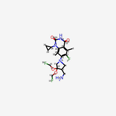 Cc1c(F)c(N2CC(CN)C(OCF)(OCF)C2)c(C)c2c1c(=O)[nH]c(=O)n2C1CC1